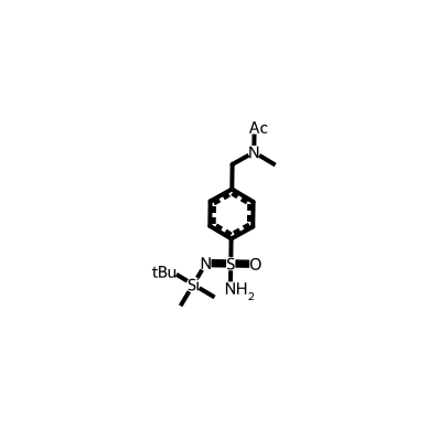 CC(=O)N(C)Cc1ccc(S(N)(=O)=N[Si](C)(C)C(C)(C)C)cc1